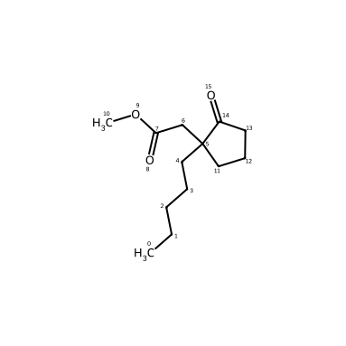 CCCCCC1(CC(=O)OC)CCCC1=O